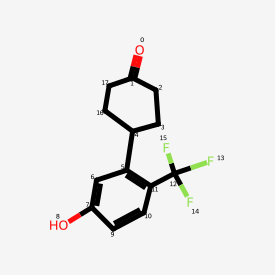 O=C1CCC(c2cc(O)ccc2C(F)(F)F)CC1